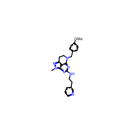 COc1ccc(CN2CCc3nn(C)c4nc(NCCc5cccnc5)nc2c34)cc1